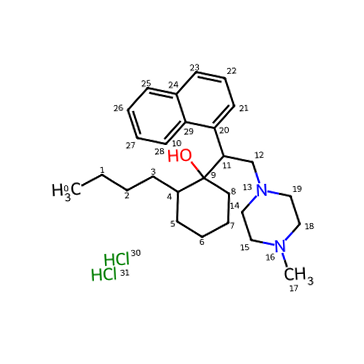 CCCCC1CCCCC1(O)C(CN1CCN(C)CC1)c1cccc2ccccc12.Cl.Cl